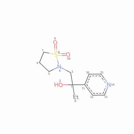 CCC(O)(CN1CCCS1(=O)=O)c1ccncc1